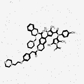 Cc1c(C(=O)N(c2ccc(O)cc2)c2cc(C#N)n(C(F)F)c2C)cc(-c2cc3c(cc2C(=O)N2Cc4ccccc4C[C@H]2CN2CCCCC2)CN(C(=O)Cc2ccc(OCCN4CCOCC4)cc2)CC3)n1C